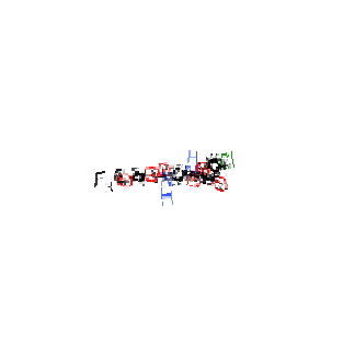 O=C(CO[C@H]1C[C@@H](OC(F)(F)F)C1)N[C@H]1CC[C@H](NC(=O)[C@H]2CC(=O)c3cc(Cl)ccc3O2)CC1